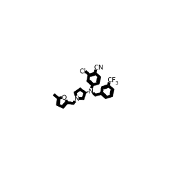 Cc1ccc(CN2CC[C@H](N(Cc3cccc(C(F)(F)F)c3)c3ccc(C#N)c(Cl)c3)C2)o1